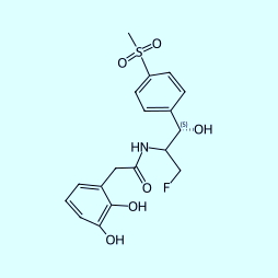 CS(=O)(=O)c1ccc([C@H](O)C(CF)NC(=O)Cc2cccc(O)c2O)cc1